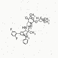 COC(=O)C(CCNC(c1cc(-c2cc(F)ccc2F)cn1Cc1ccccc1)C(C)(C)C)NC(=O)OCC[Si](C)(C)C